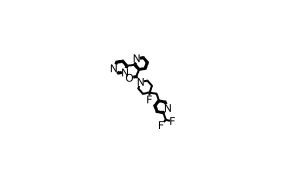 O=C(c1cccnc1-c1ccncn1)N1CCC(F)(Cc2ccc(C(F)F)nc2)CC1